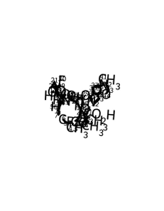 CC[C@@H]1C[C@@H](C)CCC=C[C@@H]2C[C@@]2(C(=O)NS(=O)(=O)C2(CF)CC2)NC(=O)[C@@H]2C[C@@H](Oc3nccc4c5c(ccc34)N(C)CCO5)CN2C(=O)[C@H]1N(C(=O)O)C(C)(C)C(F)(F)F